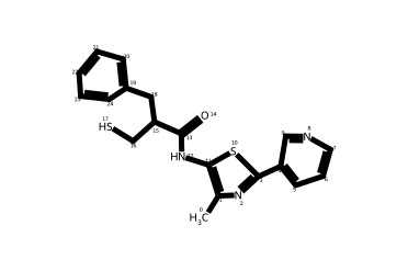 Cc1nc(-c2cccnc2)sc1NC(=O)C(CS)Cc1ccccc1